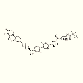 Cc1nc(-c2cc(C(=O)NCc3nc(C(C)(C)C(F)(F)F)n[nH]3)on2)ncc1-c1ccc(C(C(C)C)N2CC3(CC(c4ccc(N5CCC(=O)NC5=O)c(F)c4)C3)C2)cc1F